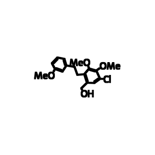 COc1cccc(CCc2c(CO)cc(Cl)c(OC)c2OC)c1